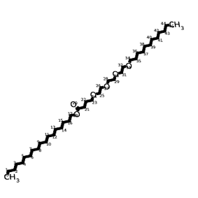 CCCCCCCCCCCCCCCCCCOC(=O)CCCOCCOCCOCCOCCCCCCCCCCCC